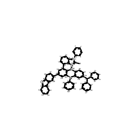 Cc1n(-c2ccccc2)c2cccc3c2[n+]1B1c2ccc(C(c4ccccc4)c4ccccc4)cc2N(c2ccccc2)c2cc(-c4ccc5oc6ccccc6c5c4)cc-3c21